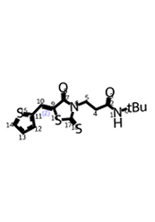 CC(C)(C)NC(=O)CCN1C(=O)/C(=C/c2cccs2)SC1=S